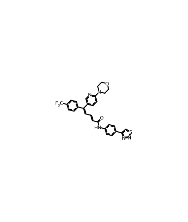 O=C(/C=C/C=C(/c1ccc(C(F)(F)F)cc1)c1ccc(N2CCOCC2)nc1)Nc1ccc(-c2csnn2)cc1